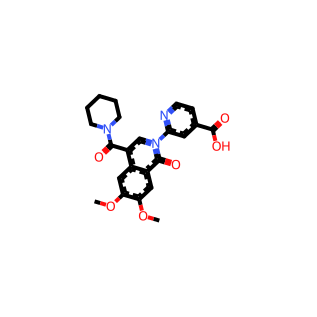 COc1cc2c(C(=O)N3CCCCC3)cn(-c3cc(C(=O)O)ccn3)c(=O)c2cc1OC